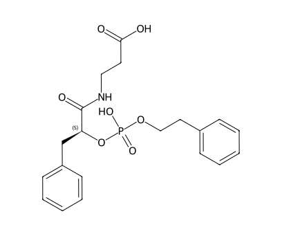 O=C(O)CCNC(=O)[C@H](Cc1ccccc1)OP(=O)(O)OCCc1ccccc1